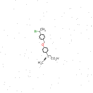 CC#C[C@@H](CC(=O)O)c1ccc(OCc2ccc(C(C)Br)cc2)cc1